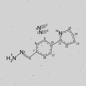 C#N.C#N.NN=Cc1ccc(-c2ccccn2)cc1